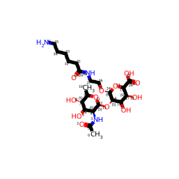 CC(=O)N[C@H]1C(O)[C@H](O)C(C)O[C@H]1O[C@H]1C(O)[C@H](O)C(C(=O)O)O[C@H]1OCCNC(=O)CCCCCN